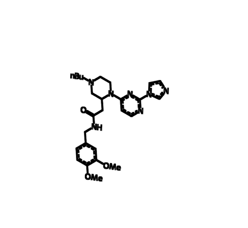 CCCCN1CCN(c2ccnc(-n3ccnc3)n2)C(CC(=O)NCc2ccc(OC)c(OC)c2)C1